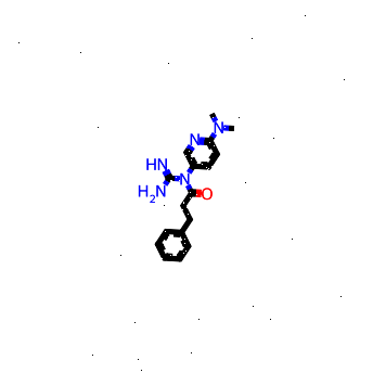 CN(C)c1ccc(N(C(=N)N)C(=O)CCc2ccccc2)cn1